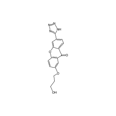 O=c1c2ccc(-c3nnn[nH]3)cc2oc2ccc(OCCCO)cc12